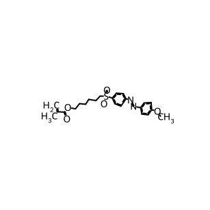 C=C(C)C(=O)OCCCCCCS(=O)(=O)c1ccc(N=Nc2ccc(OC)cc2)cc1